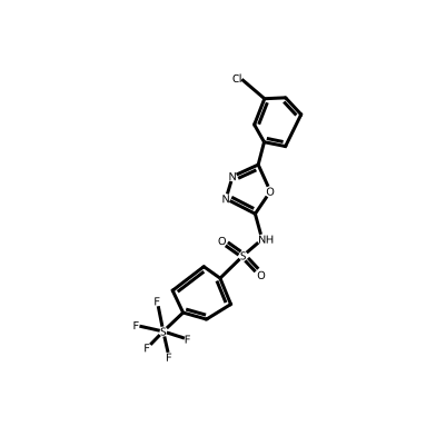 O=S(=O)(Nc1nnc(-c2cccc(Cl)c2)o1)c1ccc(S(F)(F)(F)(F)F)cc1